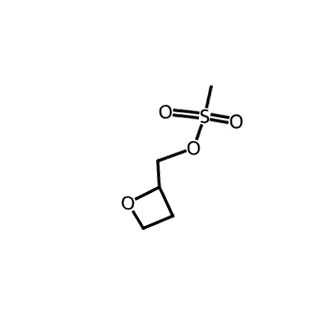 CS(=O)(=O)OCC1CCO1